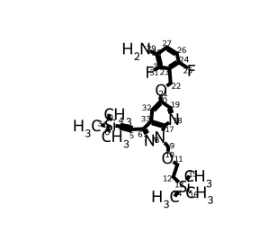 C[Si](C)(C)C#Cc1nn(COCC[Si](C)(C)C)c2ncc(OCc3c(F)ccc(N)c3F)cc12